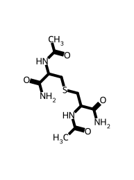 CC(=O)NC(CSCC(NC(C)=O)C(N)=O)C(N)=O